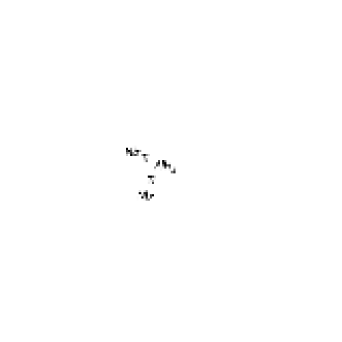 [AlH3].[Nb].[Nb].[Ti].[Ti]